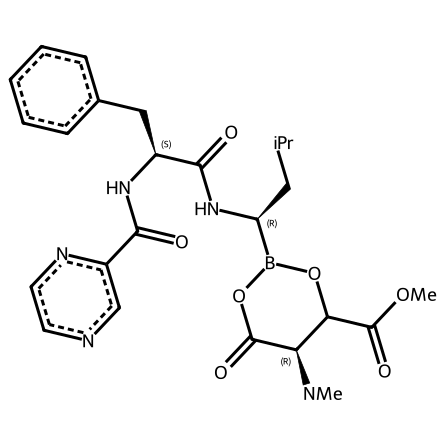 CN[C@H]1C(=O)OB([C@H](CC(C)C)NC(=O)[C@H](Cc2ccccc2)NC(=O)c2cnccn2)OC1C(=O)OC